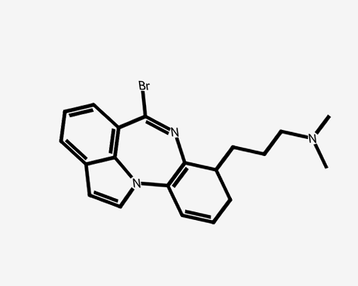 CN(C)CCCC1CC=CC2=C1N=C(Br)c1cccc3ccn2c13